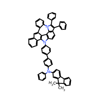 CC1(C)c2ccccc2-c2ccc(N(c3ccccc3)c3ccc(-c4ccc(-n5c6ccc7c(-c8ccccc8)c(-c8ccccc8)n8c9ccccc9c9cc%10ccccc%10c5c9c6c78)cc4)cc3)cc21